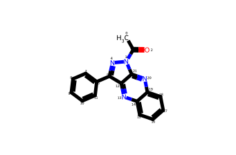 CC(=O)n1nc(-c2ccccc2)c2nc3ccccc3nc21